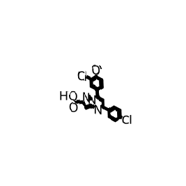 COc1ccc(-c2cc(-c3ccc(Cl)cc3)nc3cc(C(=O)O)nn23)cc1Cl